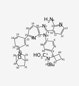 CC(C)(C)N(C(=O)O)C1(c2ccc(-n3c(-c4cccnc4N)nc4ccc(-c5cccc(N6CC7CCC(C6)O7)c5)nc43)cc2)CCC1